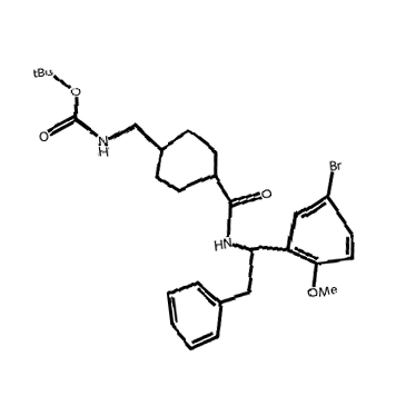 COc1ccc(Br)cc1C(Cc1ccccc1)NC(=O)C1CCC(CNC(=O)OC(C)(C)C)CC1